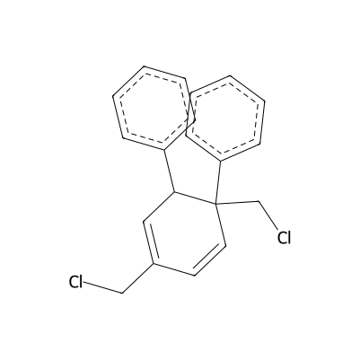 ClCC1=CC(c2ccccc2)C(CCl)(c2ccccc2)C=C1